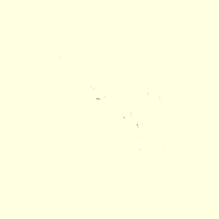 CCOP(=O)(CCNC[C@H]1C=C2C=C[C@H](C)[C@H](CC[C@@H]3C[C@@H](O)CC(=O)O3)[C@H]2[C@@H](OC(=O)C(C)(C)CC)C1)OCC